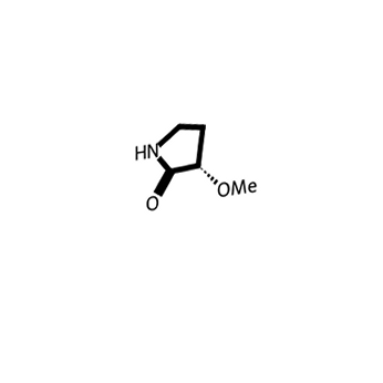 CO[C@H]1CCNC1=O